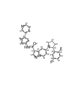 O=C(Nc1nnc(-c2cccnc2)s1)c1cnn2ccc(N3CCCC3c3cc(F)ccc3F)cc12